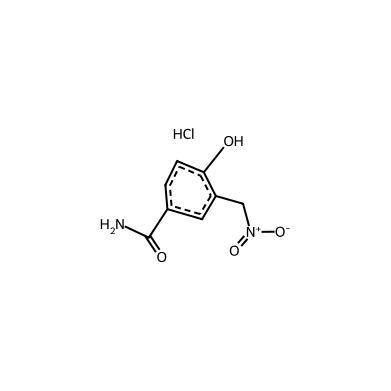 Cl.NC(=O)c1ccc(O)c(C[N+](=O)[O-])c1